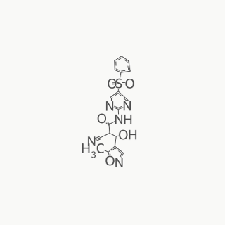 Cc1oncc1C(O)C(C#N)C(=O)Nc1ncc(S(=O)(=O)c2ccccc2)cn1